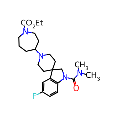 CCOC(=O)N1CCCC(N2CCC3(CC2)CN(C(=O)N(C)C)c2ccc(F)cc23)CC1